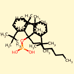 CCCCCCCC(OP(O)O)(c1c(C(C)(C)C)cccc1C(C)(C)C)c1c(C(C)(C)C)cccc1C(C)(C)C